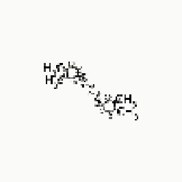 Cc1ccc(SCCCCSc2ccc(C)c(C)c2)cc1C